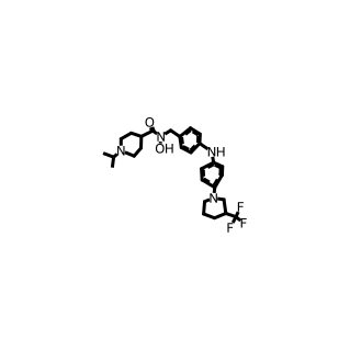 CC(C)N1CCC(C(=O)N(O)Cc2ccc(Nc3ccc(N4CCCC(C(F)(F)F)C4)cc3)cc2)CC1